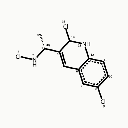 C[C@@H](NCl)C1=Cc2cc(Cl)ccc2NC1Cl